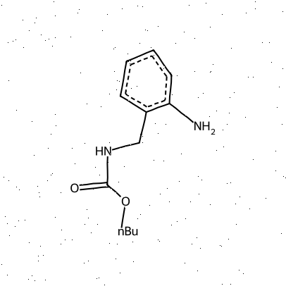 CCCCOC(=O)NCc1ccccc1N